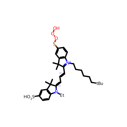 CCN1/C(=C/C=C/C2=[N+](CCCCCCC(C)(C)C)c3ccc(SOOO)cc3C2(C)C)C(C)(C)c2cc(S(=O)(=O)O)ccc21